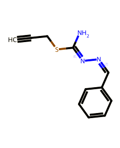 C#CCS/C(N)=N/N=C\c1ccccc1